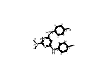 Cc1ccc(Nc2cc(Nc3ccc(C)cc3)nc(N(C)C)n2)cc1